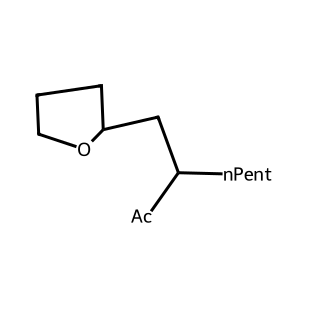 CCCCCC(CC1CCCO1)C(C)=O